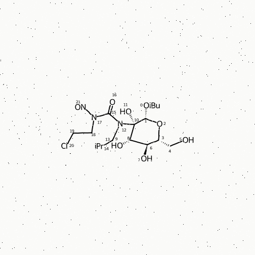 CC(C)CO[C@@H]1O[C@H](CO)[C@@H](O)[C@H](O)[C@@]1(O)N(CC(C)C)C(=O)N(CCCl)N=O